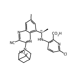 Cc1cc([C@@H](C)Nc2ccc(Cl)nc2C(=O)O)c2nc(N3CC4CC(C3)C4(C)O)c(C#N)nc2c1